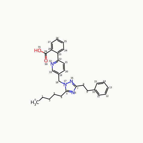 CCCCCc1nc(CCc2ccccc2)nn1Cc1ccc(-c2ccccc2C(=O)O)nc1